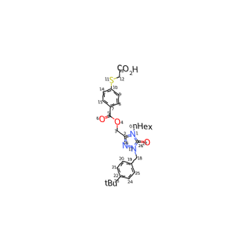 CCCCCCn1c(COC(=O)c2ccc(SCC(=O)O)cc2)nn(Cc2ccc(C(C)(C)C)cc2)c1=O